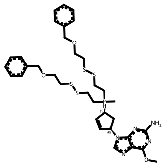 COc1nc(N)nc2c1ncn2[C@H]1C=C[C@@H]([PH](C)(CCSSCCOCc2ccccc2)CCSSCCOCc2ccccc2)C1